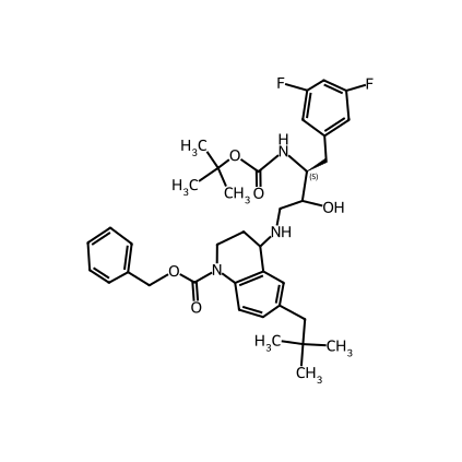 CC(C)(C)Cc1ccc2c(c1)C(NCC(O)[C@H](Cc1cc(F)cc(F)c1)NC(=O)OC(C)(C)C)CCN2C(=O)OCc1ccccc1